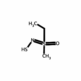 CCS(C)(=O)=NS